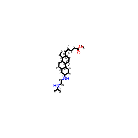 COC(=O)CC[C@@H](C)[C@H]1CCC2C3CCC4CC(NCCNC(C)C)CC[C@]4(C)C3CC[C@@]21C